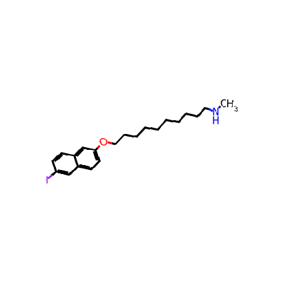 CNCCCCCCCCCCOc1ccc2cc(I)ccc2c1